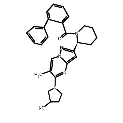 Cc1cn2nc([C@@H]3CCCCN3C(=O)c3ccccc3-c3ccccc3)cc2nc1N1CCC(C#N)C1